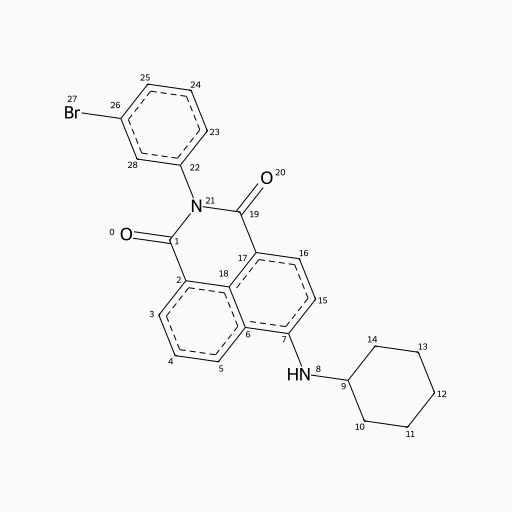 O=C1c2cccc3c(NC4CCCCC4)ccc(c23)C(=O)N1c1cccc(Br)c1